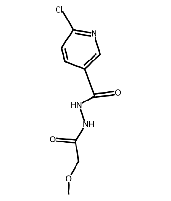 COCC(=O)NNC(=O)c1ccc(Cl)nc1